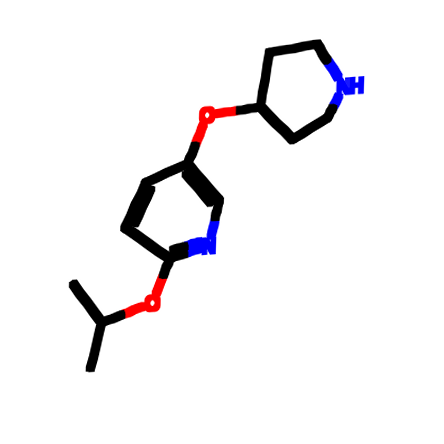 CC(C)Oc1ccc(OC2CCNCC2)cn1